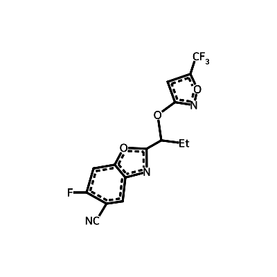 CCC(Oc1cc(C(F)(F)F)on1)c1nc2cc(C#N)c(F)cc2o1